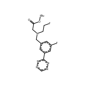 CC(C)(C)OC(=O)CN(CCF)Cc1cc(F)cc(-c2nncnn2)c1